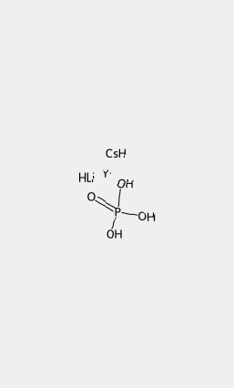 O=P(O)(O)O.[CsH].[LiH].[Y]